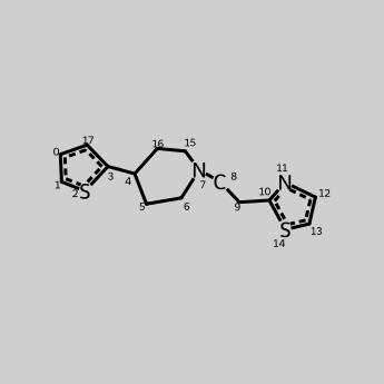 c1csc(C2CCN(CCc3nccs3)CC2)c1